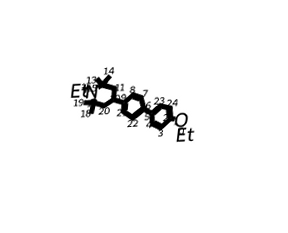 CCOc1ccc(-c2ccc(C3CC(C)(C)N(CC)C(C)(C)C3)cc2)cc1